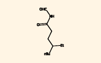 CCCCC(CC)CCC(=O)NC=O